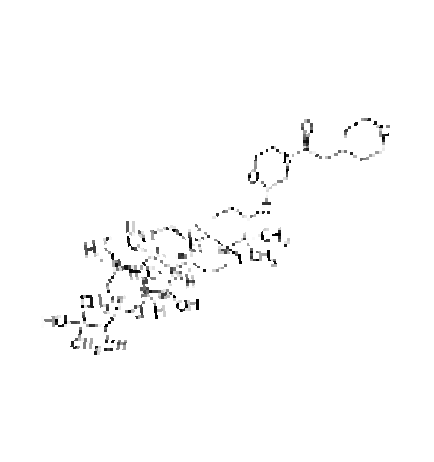 C[C@@H]1C[C@H](C(O)C(C)(C)O)O[C@H]2C1[C@@]1(C)CC[C@@]34CC35CCC(OC3CN(C(=O)CC6CCOCC6)CCO3)C(C)(C)[C@@H]5CC[C@H]4[C@]1(C)[C@H]2O